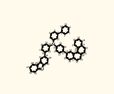 c1ccc(-c2cccc(N(c3ccc(-c4ccc5ccc6ccc7ccccc7c6c5c4)cc3)c3cccc(-c4ccc5oc6ccccc6c5c4)c3)c2)cc1